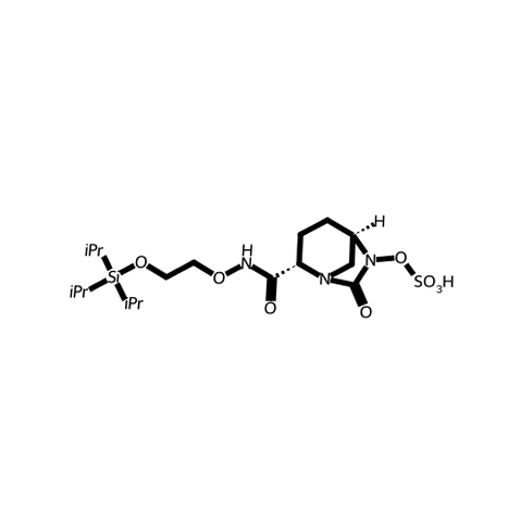 CC(C)[Si](OCCONC(=O)[C@@H]1CC[C@@H]2CN1C(=O)N2OS(=O)(=O)O)(C(C)C)C(C)C